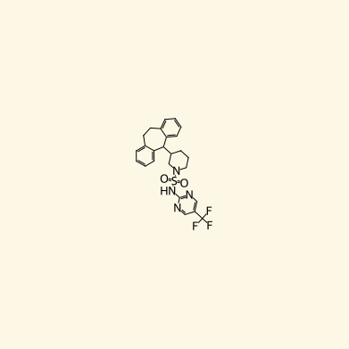 O=S(=O)(Nc1ncc(C(F)(F)F)cn1)N1CCCC(C2c3ccccc3CCc3ccccc32)C1